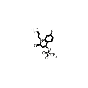 C=CCn1c(=O)cc(OS(=O)(=O)C(F)(F)F)c2ccc(F)cc21